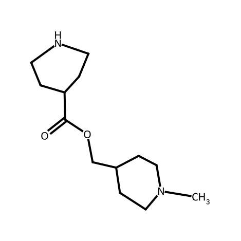 CN1CCC(COC(=O)C2CCNCC2)CC1